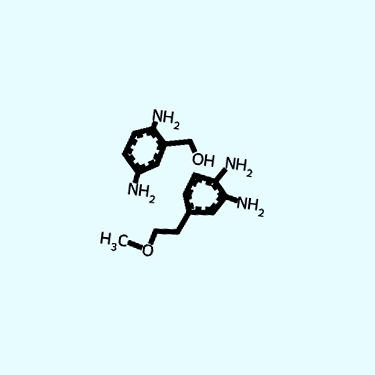 COCCc1ccc(N)c(N)c1.Nc1ccc(N)c(CO)c1